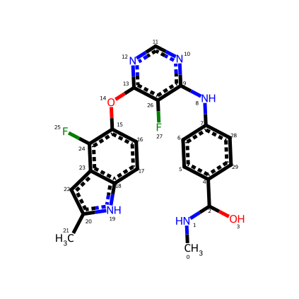 CNC(O)c1ccc(Nc2ncnc(Oc3ccc4[nH]c(C)cc4c3F)c2F)cc1